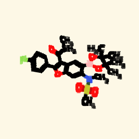 C[SiH2]C(=O)c1c(-c2ccc(F)cc2)oc2cc(N(C)S(C)(=O)=O)c(B3OC(C)(C)C(C)(C)O3)cc12